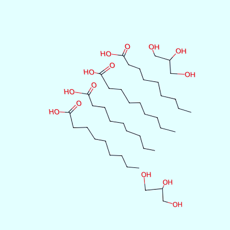 CCCCCCCCC(=O)O.CCCCCCCCC(=O)O.CCCCCCCCC(=O)O.CCCCCCCCC(=O)O.OCC(O)CO.OCC(O)CO